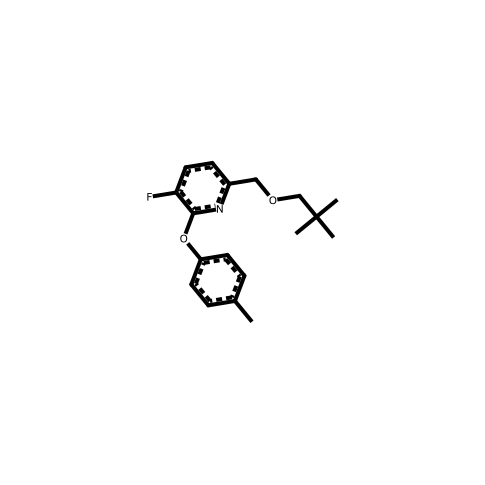 Cc1ccc(Oc2nc(COCC(C)(C)C)ccc2F)cc1